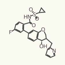 O=C(NS(=O)(=O)C1CC1)c1ccc(F)cc1-c1ccc2c(c1)OCC(Cc1ccccn1)[C@H]2O